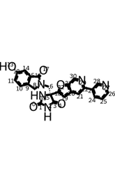 O=C1NC(=O)[C@](CN2Cc3ccc(O)cc3C2=O)(c2cc3cc(-c4cccnc4)ncc3o2)N1